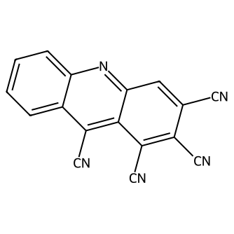 N#Cc1cc2nc3ccccc3c(C#N)c2c(C#N)c1C#N